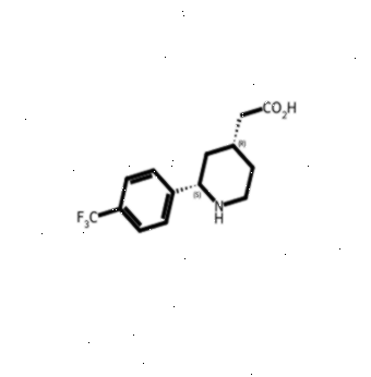 O=C(O)C[C@@H]1CCN[C@H](c2ccc(C(F)(F)F)cc2)C1